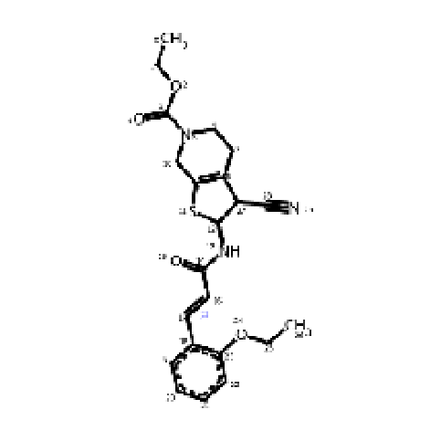 CCOC(=O)N1CCC2=C(C1)SC(NC(=O)/C=C/c1ccccc1OCC)C2C#N